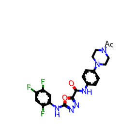 CC(=O)N1CCN(c2ccc(NC(=O)c3nnc(Nc4cc(F)c(F)cc4F)o3)cc2)CC1